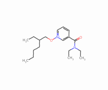 CCCCC(CC)CO[n+]1cccc(C(=O)N(CC)CC)c1